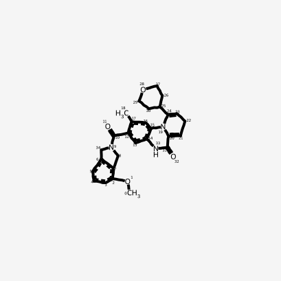 COc1cccc2c1CN(C(=O)c1cc3c(cc1C)N1C(=CCC=C1C1CCOCC1)C(=O)N3)C2